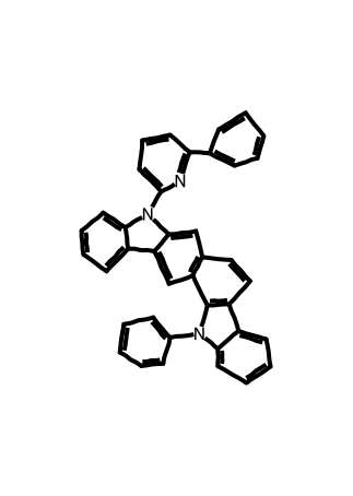 c1ccc(-c2cccc(-n3c4ccccc4c4cc5c(ccc6c7ccccc7n(-c7ccccc7)c56)cc43)n2)cc1